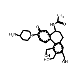 CC(=O)NC1CCc2cc(CO)c(CO)c(CO)c2-c2ccc(N3CCC(N)CC3)c(=O)cc21